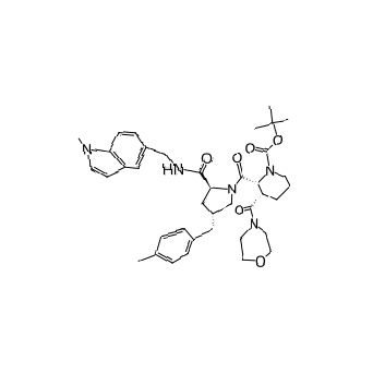 Cc1ccc(C[C@@H]2C[C@@H](C(=O)NCc3ccc4c(ccn4C)c3)N(C(=O)[C@H]3[C@@H](C(=O)N4CCOCC4)CCCN3C(=O)OC(C)(C)C)C2)cc1